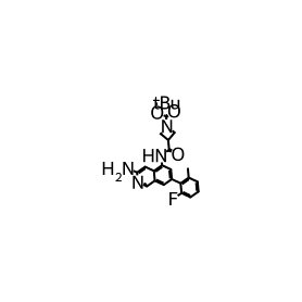 Cc1cccc(F)c1-c1cc(NC(=O)C2CN(C(=O)OC(C)(C)C)C2)c2cc(N)ncc2c1